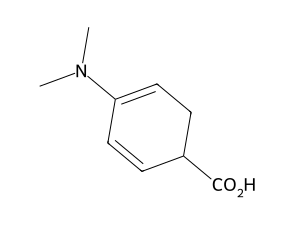 CN(C)C1=CCC(C(=O)O)C=C1